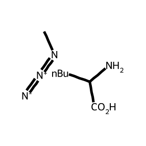 CCCCC(N)C(=O)O.CN=[N+]=[N-]